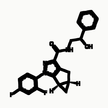 O=C(NCC(O)c1ccccc1)c1nn(-c2ccc(F)cc2F)c2c1C[C@H]1C[C@@H]21